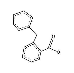 [O]C(=O)c1ccccc1Cc1ccccc1